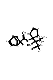 CC1(C(=O)OC2(C(O)(C(F)(F)F)C(F)(F)F)CCCC2)CC2C=CC1C2